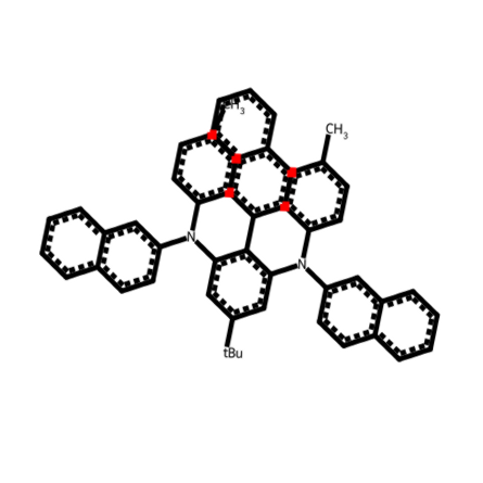 Cc1ccc(N(c2ccc3ccccc3c2)c2cc(C(C)(C)C)cc(N(c3ccc(C)cc3)c3ccc4ccccc4c3)c2-c2ccc3ccccc3c2)cc1